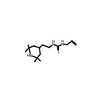 C=CCNC(=S)NCCC1CC(C)(C)NC(C)(C)C1